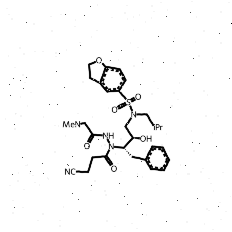 CNCC(=O)NN(C(=O)CCC#N)[C@@H](Cc1ccccc1)[C@H](O)CN(CC(C)C)S(=O)(=O)c1ccc2c(c1)CCO2